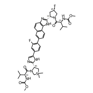 COC(=O)N[C@H](C(=O)N1C[Si](C)(C)C[C@H]1c1ncc(-c2ccc(-c3ccc4c(ccc5nc([C@@H]6C[C@@H](F)CN6C(=O)[C@@H](NC(=O)OC)C(C)C)[nH]c54)c3)c(F)c2)[nH]1)C(C)C